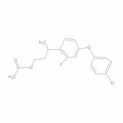 CC(=O)OCCC(C)c1ccc(Oc2ccc(Cl)cc2)cc1F